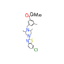 COC(=O)c1cc(C)cc(CN2C(C)CN(c3nc4ccc(Cl)cc4s3)CC2C)c1